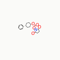 O=C(ON1C(=O)CCC1=O)O[C@H]1CC[C@@H](c2ccccc2)CC1